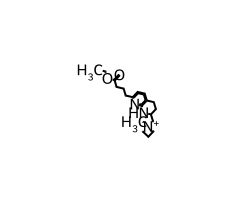 CCOC(=O)CCCc1ccc2c(n1)NC(C[N+]1(C)CCC1)CC2